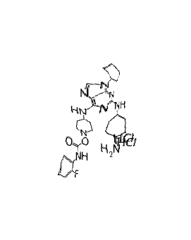 Cl.Cl.N[C@H]1CC[C@H](Nc2nc(NC3CCN(OC(=O)Nc4ccccc4F)CC3)c3ncn(C4CCCC4)c3n2)CC1